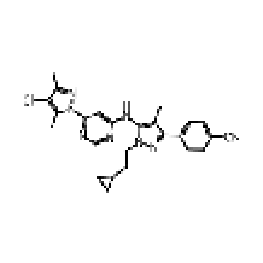 Cc1nn(-c2cc(Nc3c(C)c(-c4ccc(C#N)cc4)nn3CCC3CC3)ncn2)c(C)c1Cl